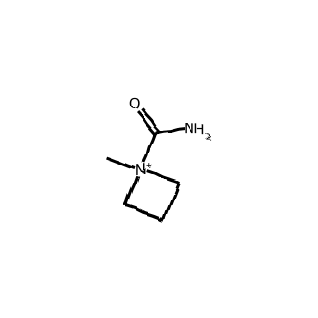 C[N+]1(C(N)=O)CCC1